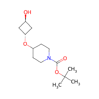 CC(C)(C)OC(=O)N1CCC(O[C@H]2C[C@H](O)C2)CC1